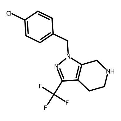 FC(F)(F)c1nn(Cc2ccc(Cl)cc2)c2c1CCNC2